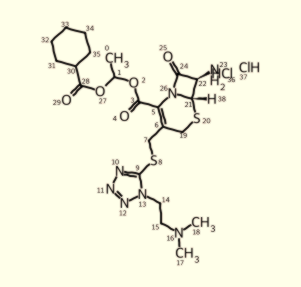 CC(OC(=O)C1=C(CSc2nnnn2CCN(C)C)CS[C@H]2[C@H](N)C(=O)N12)OC(=O)C1CCCCC1.Cl.Cl